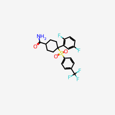 NC(=O)C1CCC(c2cc(F)ccc2F)(S(=O)(=O)c2ccc(C(F)(F)F)cc2)CC1